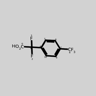 O=C(O)C(F)(F)c1ccc(C(F)(F)F)cc1